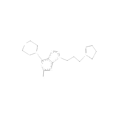 Clc1nc(N2CCOCC2)c2nnn(CCCN3CCCC3)c2n1